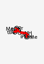 COC(=O)N[C@H](C(=O)N1CC2(CCN(C(=O)OC(C)(C)C)CC2)CC1C(=O)NCC(=O)c1ccc(-c2ccc(-c3c[nH]c([C@@H]4CCCN4C(=O)[C@@H](NC(=O)OC)C(C)C)n3)cc2)cc1)C(C)C